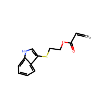 C=CC(=O)OCCSc1c[nH]c2ccccc12